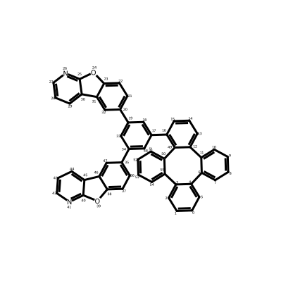 c1ccc2c(c1)-c1ccccc1-c1cccc(-c3cc(-c4ccc5oc6ncccc6c5c4)cc(-c4ccc5oc6ncccc6c5c4)c3)c1-c1ccccc1-2